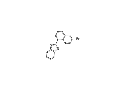 Brc1ccc2c(-c3nc4ccccc4s3)cccc2c1